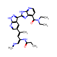 C=N/C=C(\C=C(/C)c1cnc2[nH]nc(-c3nc4c(C(=O)N(CC)CC)ccnc4[nH]3)c2c1)NC(=O)CC